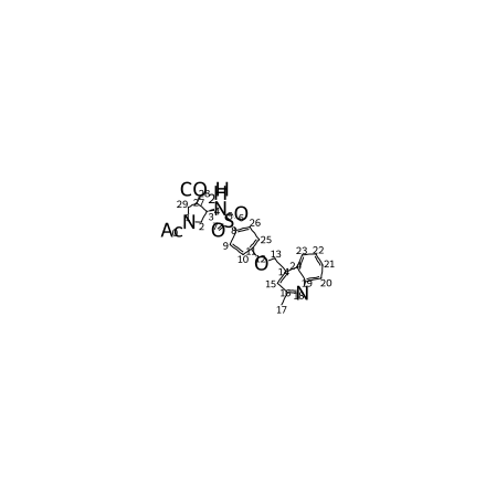 CC(=O)N1C[C@H](NS(=O)(=O)c2ccc(OCc3cc(C)nc4ccccc34)cc2)[C@H](C(=O)O)C1